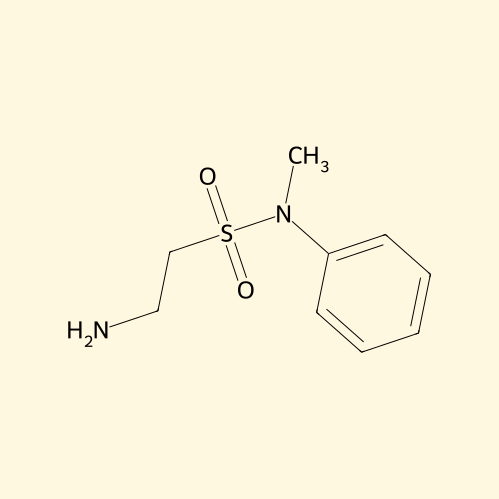 CN(c1ccccc1)S(=O)(=O)CCN